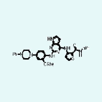 CCCNC(=O)c1sccc1Nc1nc(Nc2ccc(N3CCN(C(C)C)CC3)cc2OC)nc2[nH]ccc12